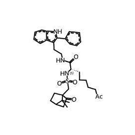 CC(=O)CCCCC[C@H](NS(=O)(=O)CC12CCC(CC1=O)C2(C)C)C(=O)NCCc1c(-c2ccccc2)[nH]c2ccccc12